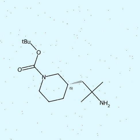 CC(C)(N)C[C@@H]1CCCN(C(=O)OC(C)(C)C)C1